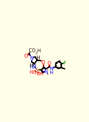 Cc1cc(NC(=O)c2c3c(cn2C)S(O)(O)N[C@H]2CN(C(=O)C(=O)O)C[C@H]2CO3)ccc1F